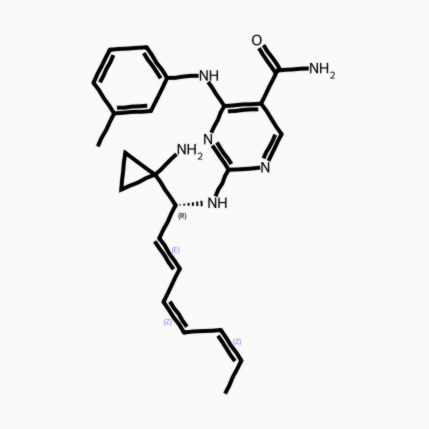 C\C=C/C=C\C=C\[C@@H](Nc1ncc(C(N)=O)c(Nc2cccc(C)c2)n1)C1(N)CC1